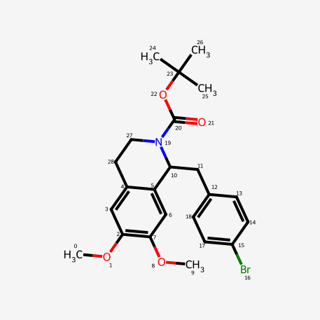 COc1cc2c(cc1OC)C(Cc1ccc(Br)cc1)N(C(=O)OC(C)(C)C)CC2